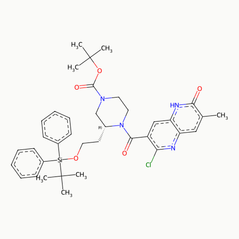 Cc1cc2nc(Cl)c(C(=O)N3CCN(C(=O)OC(C)(C)C)C[C@H]3CCO[Si](c3ccccc3)(c3ccccc3)C(C)(C)C)cc2[nH]c1=O